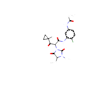 CCCCCCCC(=O)Nc1ccc(Cl)c(NC(=O)C(C(=O)C2(C)CC2)N2C(=O)C(OC)N(C)C2=O)c1